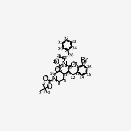 CC(C)(C)OC(=O)N1CCC([C@H](Cc2cccc(Br)c2)C(=O)N2C(=O)OC[C@@H]2Cc2ccccc2)CC1